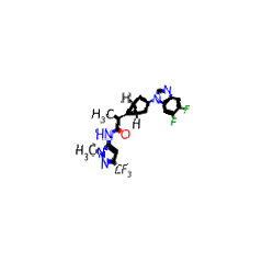 CC(C(=O)Nc1cc(C(F)(F)F)nn1C)[C@H]1[C@@H]2C[C@@H](n3cnc4cc(F)c(F)cc43)C[C@@H]21